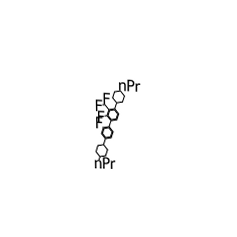 CCCC1CCC(c2ccc(-c3ccc(C4CCC(CCC)CC4)c(C(F)F)c3F)c(F)c2)CC1